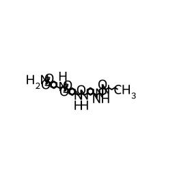 CCCCN1CCN(C(=N)c2cccc(NC(=O)Nc3ccc(S(=O)(=O)NCc4ccc(S(N)(=O)=O)cc4)cc3)c2)CC1=O